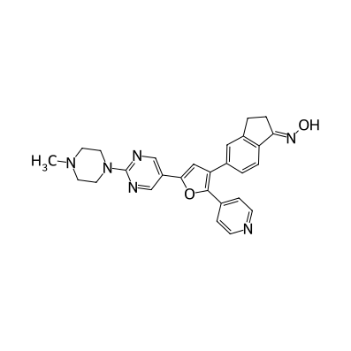 CN1CCN(c2ncc(-c3cc(-c4ccc5c(c4)CCC5=NO)c(-c4ccncc4)o3)cn2)CC1